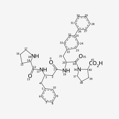 O=C(CC(Cc1ccccc1)NC(=O)C1CCCN1)NC(Cc1ccc(-c2ccccc2)cc1)C(=O)N1CCCC1C(=O)O